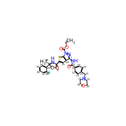 CCOC(=O)n1nc(NC(=O)c2ccc(CN3CCOCC3)cc2)c2cc(C(=O)NC(C)(C)c3ccccc3F)sc21